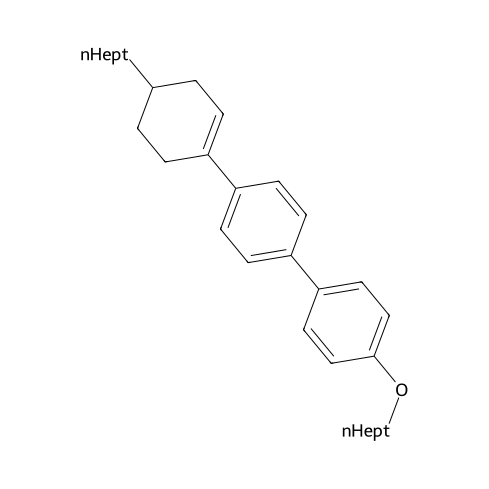 CCCCCCCOc1ccc(-c2ccc(C3=CCC(CCCCCCC)CC3)cc2)cc1